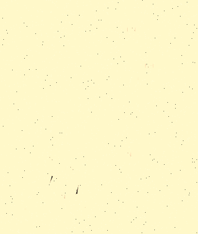 CC(C)NCCNC(=O)CCc1cccc2c1CN(C(=O)C[C@@H]1C[C@@H](C(=O)N3CC(F)(F)C[C@H]3C#N)NC1=O)C2